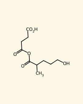 CC(CCCO)C(=O)OC(=O)CCC(=O)O